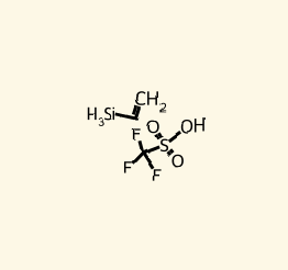 C=C[SiH3].O=S(=O)(O)C(F)(F)F